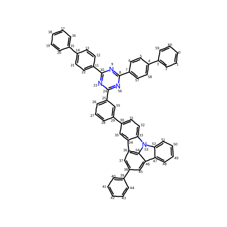 c1ccc(-c2ccc(-c3nc(-c4ccc(-c5ccccc5)cc4)nc(-c4cccc(-c5ccc6c(c5)c5cc(-c7ccccc7)cc7c8ccccc8n6c75)c4)n3)cc2)cc1